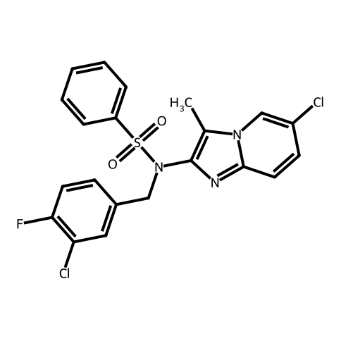 Cc1c(N(Cc2ccc(F)c(Cl)c2)S(=O)(=O)c2ccccc2)nc2ccc(Cl)cn12